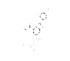 CN(C)CCNc1cc(C(=O)C=O)c2sc(-c3ccc(Cl)cc3)nc2c1